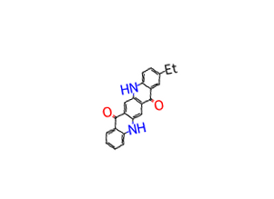 CCc1ccc2[nH]c3cc4c(=O)c5ccccc5[nH]c4cc3c(=O)c2c1